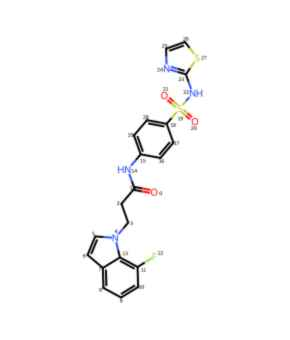 O=C(CCn1ccc2cccc(F)c21)Nc1ccc(S(=O)(=O)Nc2nccs2)cc1